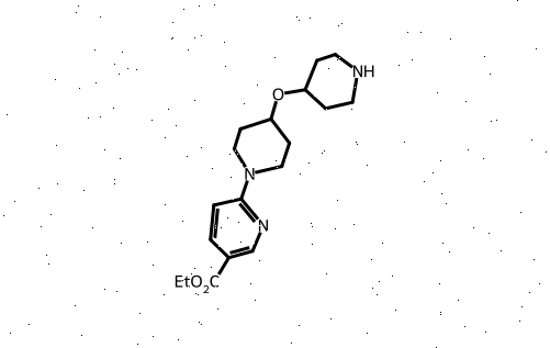 CCOC(=O)c1ccc(N2CCC(OC3CCNCC3)CC2)nc1